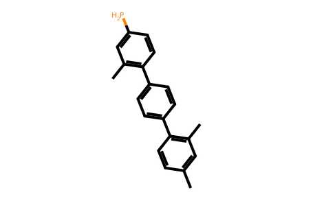 Cc1ccc(-c2ccc(-c3ccc(P)cc3C)cc2)c(C)c1